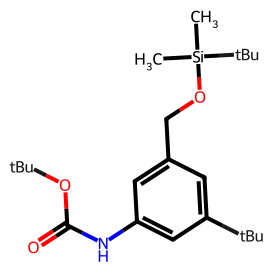 CC(C)(C)OC(=O)Nc1cc(CO[Si](C)(C)C(C)(C)C)cc(C(C)(C)C)c1